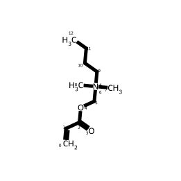 C=CC(=O)OC[N+](C)(C)CCCC